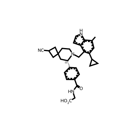 Cc1cc(C2CC2)c(CN2CCC3(CC(C#N)C3)C[C@H]2c2ccc(C(=O)NCC(=O)O)cc2)c2cc[nH]c12